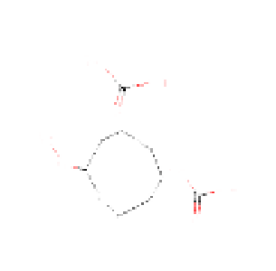 O=C(O)O.O=C(O)O.OOC1CCCCCCC1